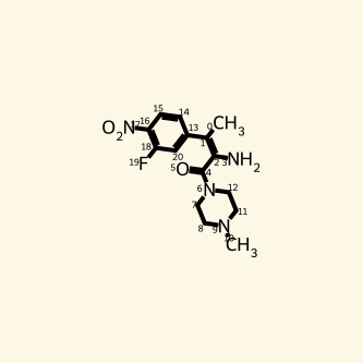 C/C(=C(\N)C(=O)N1CCN(C)CC1)c1ccc([N+](=O)[O-])c(F)c1